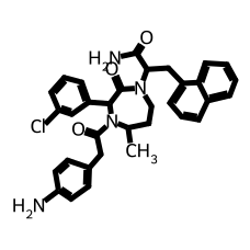 CC1CCN(C(Cc2cccc3ccccc23)C(N)=O)C(=O)C(c2cccc(Cl)c2)N1C(=O)Cc1ccc(N)cc1